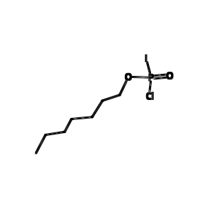 CCCCCCCOP(=O)(Cl)I